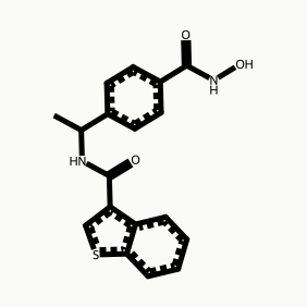 CC(NC(=O)c1csc2ccccc12)c1ccc(C(=O)NO)cc1